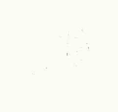 O=S(=O)(N1CCCCC1)N1[C@@H]2CC[C@@H](C2)[C@H]1c1nnc(CCc2ccncc2)[nH]1